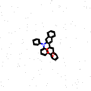 c1ccc(N(c2ccccc2)c2cc3ccccc3cc2-c2ccc3c4ccc(o4)c3c2)cc1